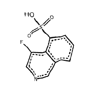 O=S(=O)(O)c1cccc2cncc(F)c12